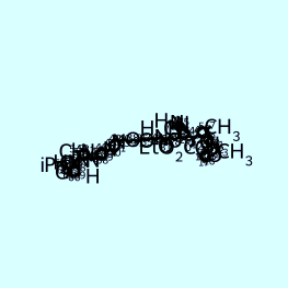 CCOC(=O)CC(c1ccc(C)c(CN2CC(C)Oc3ccccc3S2(=O)=O)c1)c1cc(OCC(=O)NCCOCCOCCN2CCN(c3ccc(Nc4ncc(Cl)c(Nc5ccccc5S(=O)(=O)C(C)C)n4)cc3)CC2)c2c(c1)nnn2C